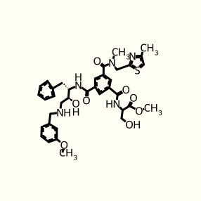 COC(=O)C(CO)NC(=O)c1cc(C(=O)N[C@@H](Cc2ccccc2)[C@@H](O)CNCc2cccc(OC)c2)cc(C(=O)N(C)Cc2nc(C)cs2)c1